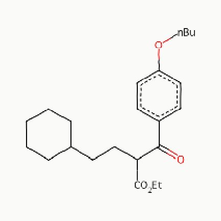 CCCCOc1ccc(C(=O)C(CCC2CCCCC2)C(=O)OCC)cc1